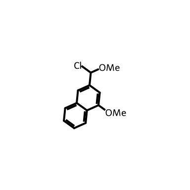 COc1cc(C(Cl)OC)cc2ccccc12